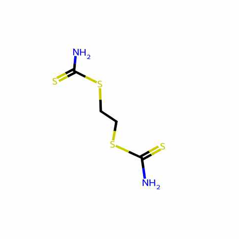 NC(=S)SCCSC(N)=S